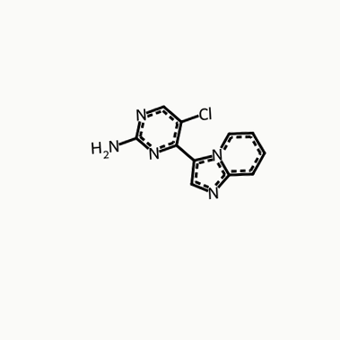 Nc1ncc(Cl)c(-c2cnc3ccccn23)n1